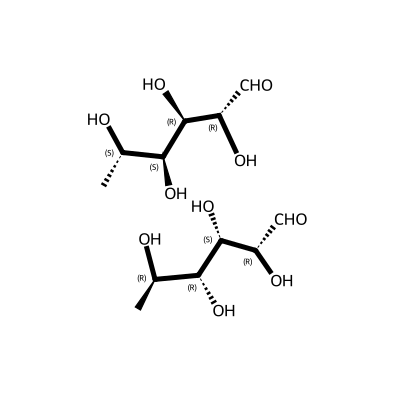 C[C@@H](O)[C@@H](O)[C@H](O)[C@@H](O)C=O.C[C@H](O)[C@H](O)[C@@H](O)[C@@H](O)C=O